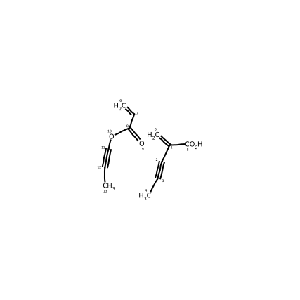 C=C(C#CC)C(=O)O.C=CC(=O)OC#CC